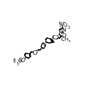 CC1(COc2ccc(N3CCC(CCOCc4ccc(OC(F)(F)F)cc4)CC3)cc2)Cn2cc([N+](=O)[O-])nc2O1